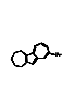 CC(C)c1cccc2c3c(cc-2c1)CCCCC3